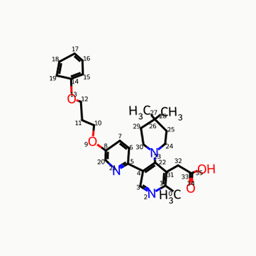 Cc1ncc(-c2ccc(OCCCOc3ccccc3)cn2)c(N2CCC(C)(C)CC2)c1CC(=O)O